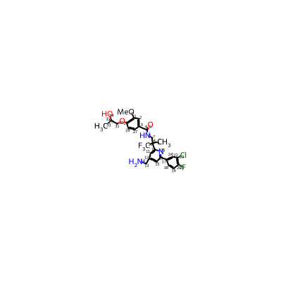 COc1cc(C(=O)NCC(C)(c2cc(CN)cc(-c3ccc(F)c(Cl)c3)n2)C(F)(F)F)ccc1OC[C@@H](C)O